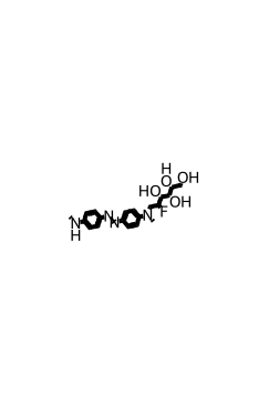 CNc1ccc(/N=N/c2ccc(N(C)CC(F)C(O)C(O)C(O)CO)cc2)cc1